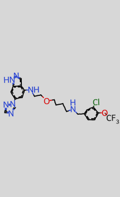 FC(F)(F)Oc1ccc(CNCCCCOCCNc2cc(-n3cncn3)cc3[nH]ncc23)cc1Cl